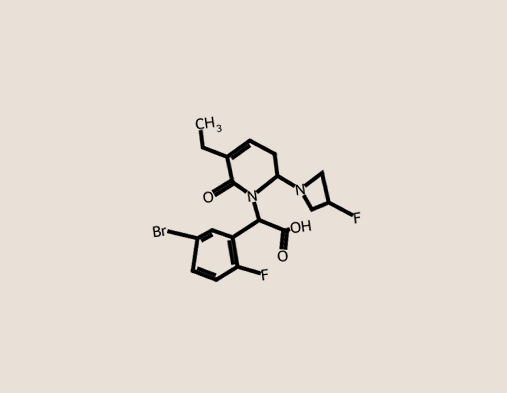 CCC1=CCC(N2CC(F)C2)N(C(C(=O)O)c2cc(Br)ccc2F)C1=O